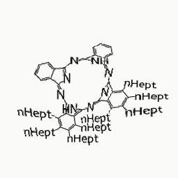 CCCCCCCc1c(CCCCCCC)c(CCCCCCC)c2c(c1CCCCCCC)-c1nc-2nc2[nH]c(nc3nc(nc4[nH]c(n1)c1ccccc41)-c1ccccc1-3)c1c(CCCCCCC)c(CCCCCCC)c(CCCCCCC)c(CCCCCCC)c21